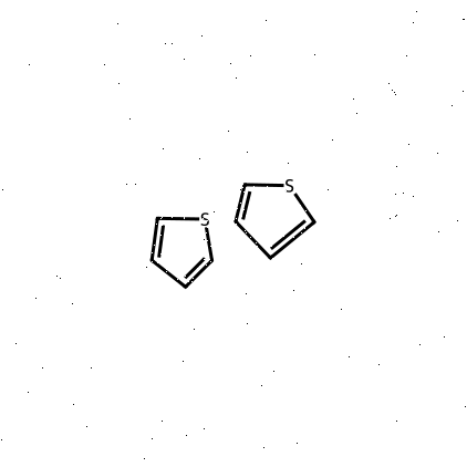 c1ccsc1.c1ccsc1